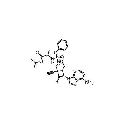 C#C[C@]1(COP(=O)(NC(C)C(=O)OC(C)C)Oc2ccccc2)C(=C)[C@@H](n2cnc3c(N)ncnc32)[C@@H]1CO